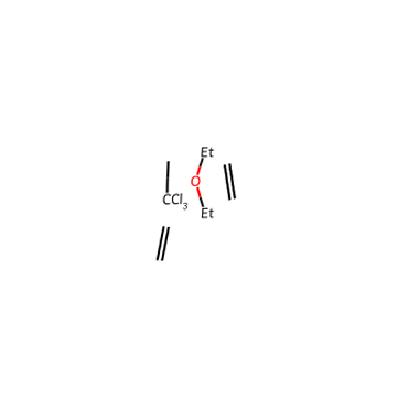 C=C.C=C.CC(Cl)(Cl)Cl.CCOCC